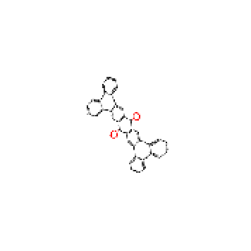 O=C1c2cc3c4ccccc4c4ccccc4c3cc2C(=O)c2cc3c4ccccc4c4ccccc4c3cc21